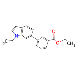 CCOC(=O)c1cccc(-c2ccc3ccn(CC)c3c2)c1